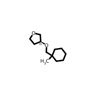 CC1(CO[C@H]2CCOC2)CCCCC1